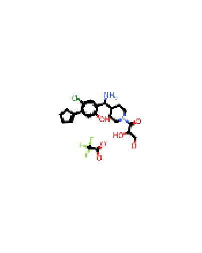 NC(c1cc(Cl)c(C2=CCCC2)cc1O)C1CCN(C(=O)C(O)CO)CC1.O=C(O)C(F)(F)F